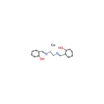 Oc1ccccc1C=NCCN=Cc1ccccc1O.[Co]